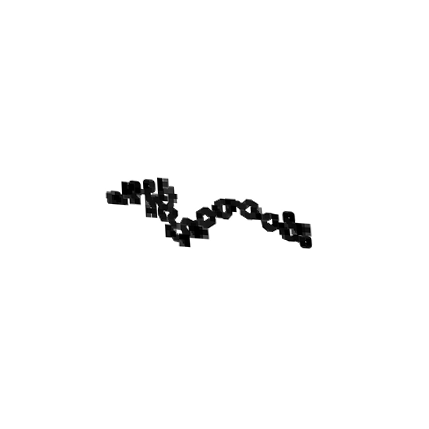 C[C@@H](NC(=O)c1nc(C(C)(C)C)no1)c1ccc(-c2ncnc3[nH]c(-c4ccc(N5CCN(CC6CCN(c7ccc(N8CCC(=O)NC8=O)cc7)CC6)CC5)cc4)cc23)cc1F